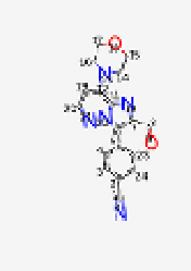 N#Cc1ccc(-c2c(C=O)nc3c(N4CCOCC4)ccnn23)cc1